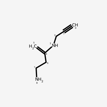 C#CCNC(=C)CCN